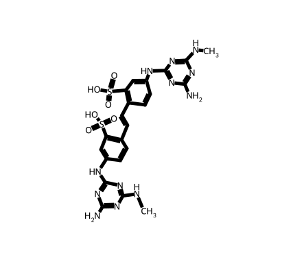 CNc1nc(N)nc(Nc2ccc(/C=C/c3ccc(Nc4nc(N)nc(NC)n4)cc3S(=O)(=O)O)c(S(=O)(=O)O)c2)n1